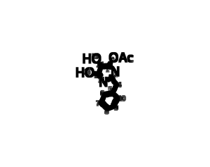 CC(=O)Oc1nc(Cc2ccccc2)nc(O)c1O